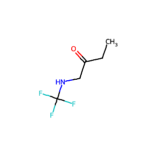 CCC(=O)CNC(F)(F)F